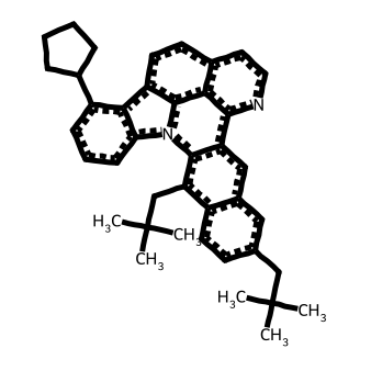 CC(C)(C)Cc1ccc2c(CC(C)(C)C)c3c(cc2c1)c1nccc2ccc4c5c(C6CCCC6)cccc5n3c4c21